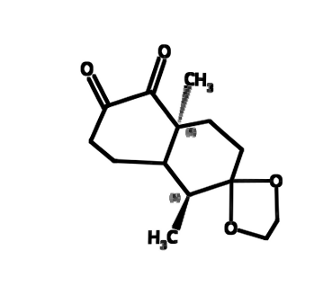 C[C@H]1C2CCC(=O)C(=O)[C@@]2(C)CCC12OCCO2